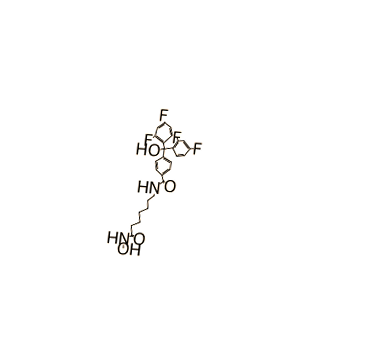 O=C(CCCCCCNC(=O)c1ccc(C(O)(c2ccc(F)cc2F)c2ccc(F)cc2F)cc1)NO